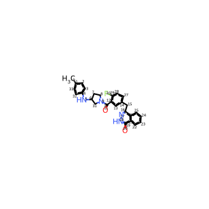 Cc1ccc(NC2CCN(C(=O)c3cc(Cc4n[nH]c(=O)c5ccccc45)ccc3F)C2)cc1